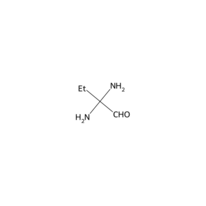 CCC(N)(N)C=O